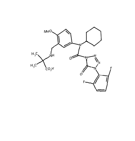 COc1ccc(N(C(=O)n2nnn(-c3c(F)cccc3F)c2=O)C2CCCCC2)cc1CNC(C)(C)C(=O)O